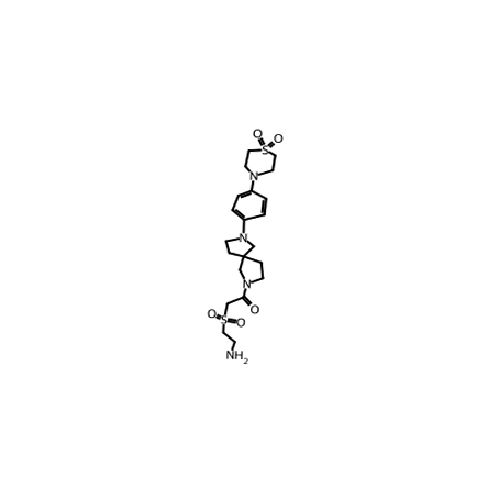 NCCS(=O)(=O)CC(=O)N1CCC2(CCN(c3ccc(N4CCS(=O)(=O)CC4)cc3)C2)C1